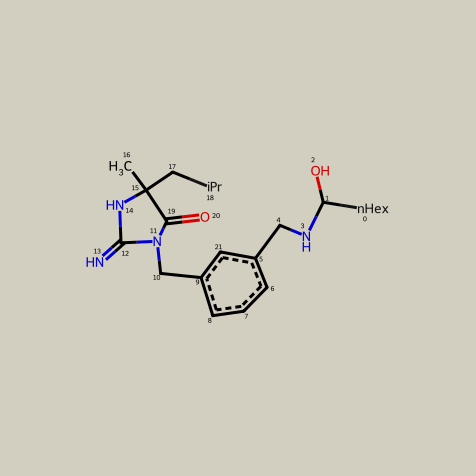 CCCCCCC(O)NCc1cccc(CN2C(=N)NC(C)(CC(C)C)C2=O)c1